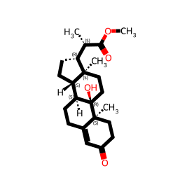 COC(=O)[C@@H](C)[C@H]1CC[C@H]2[C@@H]3CCC4=CC(=O)CC[C@]4(C)[C@@]3(O)CC[C@]12C